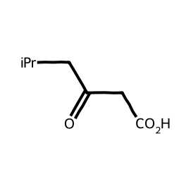 CC(C)CC(=O)CC(=O)O